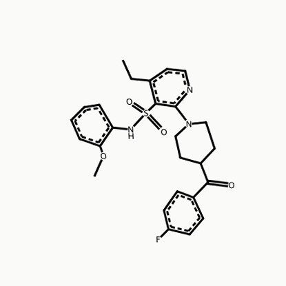 CCc1ccnc(N2CCC(C(=O)c3ccc(F)cc3)CC2)c1S(=O)(=O)Nc1ccccc1OC